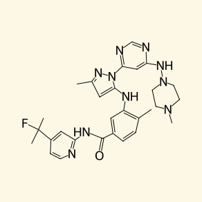 Cc1cc(Nc2cc(C(=O)Nc3cc(C(C)(C)F)ccn3)ccc2C)n(-c2cc(NN3CCN(C)CC3)ncn2)n1